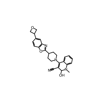 CN1c2ccccc2C(N2CCC(c3nc4cc(C5COC5)ccc4o3)CC2)=C(C#N)C1O